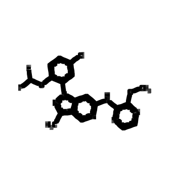 COc1nccnc1Nc1cc2c(cn1)c(C)nn2-c1cc(Cl)ccc1OC(F)F